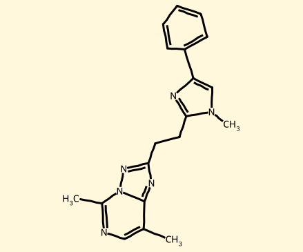 Cc1cnc(C)n2nc(CCc3nc(-c4ccccc4)cn3C)nc12